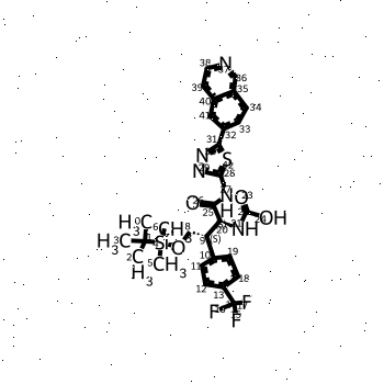 CC(C)(C)[Si](C)(C)OC[C@@H](c1ccc(C(F)(F)F)cc1)[C@H](NC(=O)O)C(=O)Nc1nnc(-c2ccc3cnccc3c2)s1